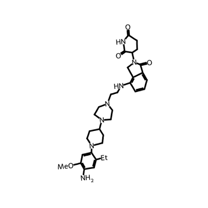 CCc1cc(N)c(OC)cc1N1CCC(N2CCN(CCNc3cccc4c3CN(C3CCC(=O)NC3=O)C4=O)CC2)CC1